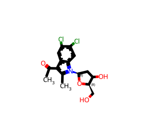 CC(=O)c1c(C)n([C@H]2CC(O)[C@@H](CO)O2)c2cc(Cl)c(Cl)cc12